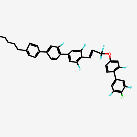 CCCCCc1ccc(-c2ccc(-c3cc(F)c(/C=C/C(F)(F)Oc4ccc(-c5cc(F)c(Cl)c(F)c5)c(F)c4)c(F)c3)c(F)c2)cc1